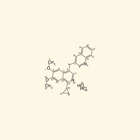 COc1cc2c(Cc3cnc4ccccc4c3)cnc(C3CC3)c2cc1OC.Cl.Cl